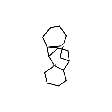 C1CCN2C(C1)C1CC3C2C32CCCCN2C1